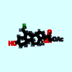 CC(=O)OCC(=O)[C@@]1(O)CC=C2c3cc(CF)c4cc(O)ccc4c3CC[C@@]21C